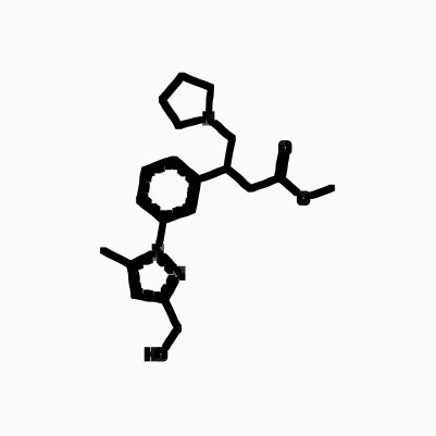 COC(=O)CC(CN1CCCC1)c1cccc(-n2nc(CO)cc2C)c1